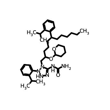 CCCCCCC(CCCC(CN1C(NC(N)=O)=NNN1c1ccccc1C(C)C)OC1CCCCO1)c1ccccc1C(C)C